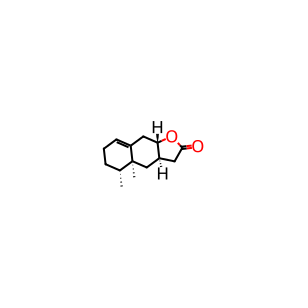 C[C@@H]1CCC=C2C[C@@H]3OC(=O)C[C@H]3C[C@]21C